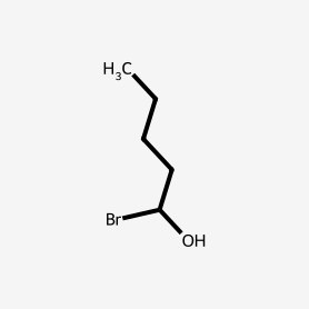 CCCCC(O)Br